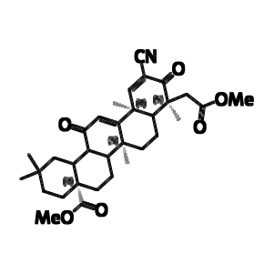 COC(=O)C[C@]1(C)C(=O)C(C#N)=C[C@]2(C)C3=CC(=O)C4C5CC(C)(C)CC[C@]5(C(=O)OC)CCC4[C@]3(C)CCC21